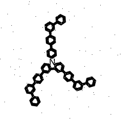 c1ccc(-c2cccc(-c3ccc(-c4ccc(-n5c6ccc(-c7ccc(-c8cccc(-c9ccccc9)c8)cc7)cc6c6cc(-c7ccc(-c8cccc(-c9ccccc9)c8)cc7)ccc65)cc4)cc3)c2)cc1